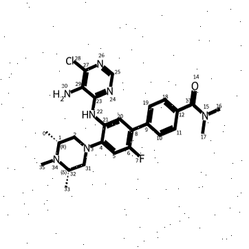 C[C@@H]1CN(c2cc(F)c(-c3ccc(C(=O)N(C)C)cc3)cc2Nc2ncnc(Cl)c2N)C[C@H](C)N1C